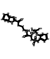 O=C(CCCNC(=O)[C@@H](O)CS(=O)(=O)Cc1ccccc1OC(F)F)c1nc2ccccc2o1